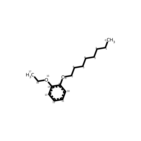 CCCCCCCCOc1ccccc1OCC